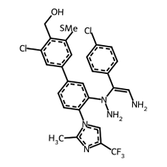 CSc1cc(-c2ccc(-n3cc(C(F)(F)F)nc3C)c(N(N)/C(=C\N)c3ccc(Cl)cc3)c2)cc(Cl)c1CO